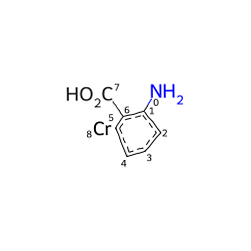 Nc1ccccc1C(=O)O.[Cr]